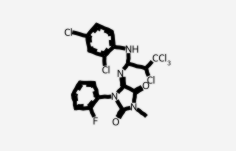 CN1C(=O)C(=NC(Nc2ccc(Cl)cc2Cl)C(Cl)C(Cl)(Cl)Cl)N(c2ccccc2F)C1=O